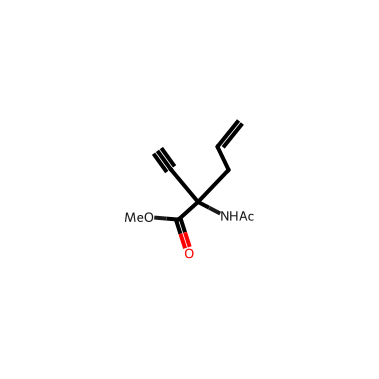 C#CC(CC=C)(NC(C)=O)C(=O)OC